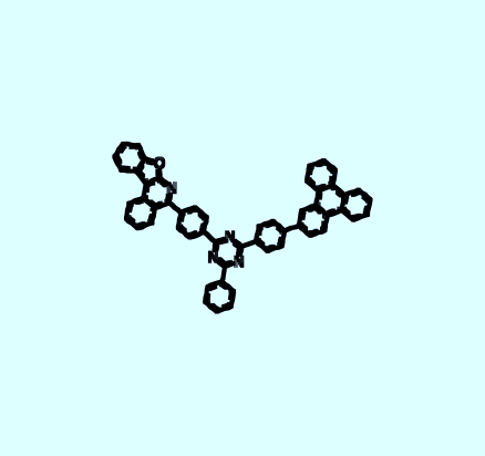 c1ccc(-c2nc(-c3ccc(-c4ccc5c6ccccc6c6ccccc6c5c4)cc3)nc(-c3ccc(-c4nc5oc6ccccc6c5c5ccccc45)cc3)n2)cc1